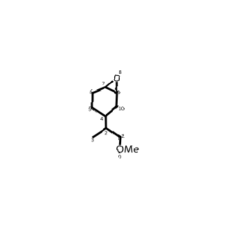 COCC(C)C1CCC2OC2C1